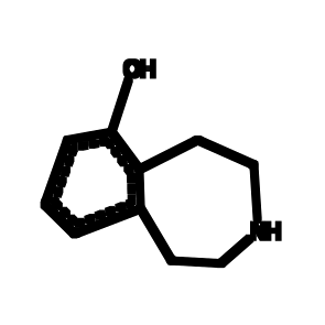 Oc1cccc2c1CCNCC2